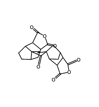 O=C1OC(=O)C2C1CC1CCC2C12CCC1(CC3CC1C1C(=O)OC(=O)C31)C2=O